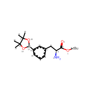 CC(C)(C)OC(=O)[C@@H](N)Cc1cccc(B2OC(C)(C)C(C)(C)O2)c1